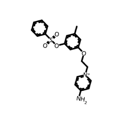 Cc1cc(OCC[n+]2ccc(N)cc2)cc(OS(=O)(=O)c2ccccc2)c1